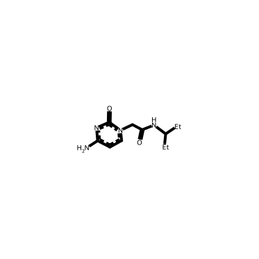 CCC(CC)NC(=O)Cn1ccc(N)nc1=O